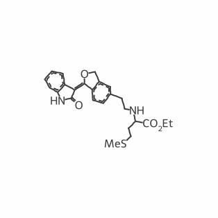 CCOC(=O)C(CCSC)NCCc1ccc2c(c1)COC2=C1C(=O)Nc2ccccc21